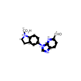 O=Cc1ccc2ncn(-c3ccc4c(c3)CCN4C(=O)O)c2n1